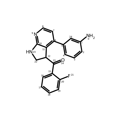 Nc1cccc(-c2ccnc3c2C(C(=O)c2ccccc2F)CN3)c1